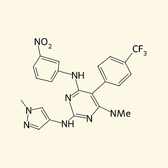 CNc1nc(Nc2cnn(C)c2)nc(Nc2cccc([N+](=O)[O-])c2)c1-c1ccc(C(F)(F)F)cc1